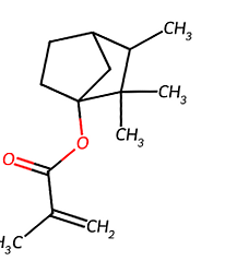 C=C(C)C(=O)OC12CCC(C1)C(C)C2(C)C